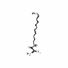 C=C(C)C(=O)NCCCCCCCCCCCCCCCCCCC